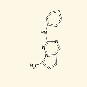 Cc1ccc2cnc(Nc3ccccc3)nn12